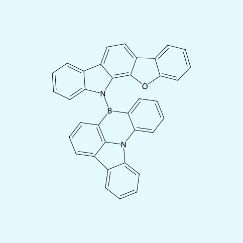 c1ccc2c(c1)B(n1c3ccccc3c3ccc4c5ccccc5oc4c31)c1cccc3c4ccccc4n-2c13